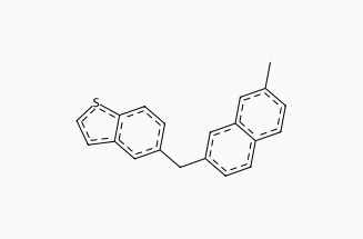 Cc1ccc2ccc(Cc3ccc4sccc4c3)cc2c1